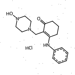 Cl.O=C1CCCC(Nc2ccccc2)=C1CN1CCN(O)CC1